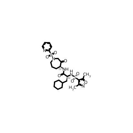 Cc1noc(C)c1S(=O)(=O)N[C@@H](CC1CCCCC1)C(=O)N[C@H]1CCCN(S(=O)(=O)c2ccccn2)CC1=O